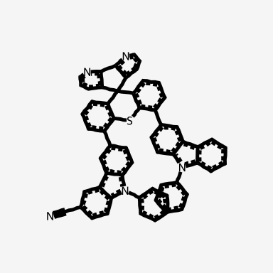 N#Cc1ccc2c(c1)c1cc(-c3cccc4c3Sc3c(-c5ccc6c(c5)c5ccccc5n6-c5ccccc5)cccc3C43c4cccnc4-c4ncccc43)ccc1n2-c1ccccc1